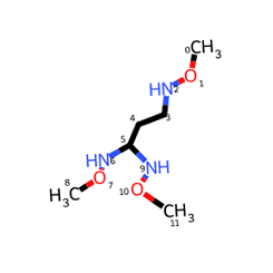 CONCCC(NOC)NOC